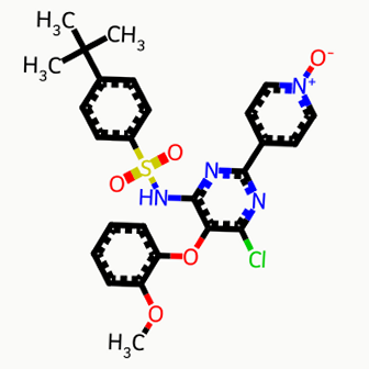 COc1ccccc1Oc1c(Cl)nc(-c2cc[n+]([O-])cc2)nc1NS(=O)(=O)c1ccc(C(C)(C)C)cc1